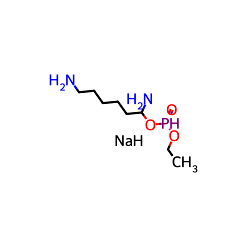 CCO[PH](=O)OC(N)CCCCCN.[NaH]